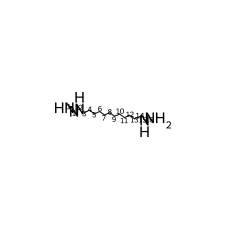 N=NNCCCCCCCCCCCCNN